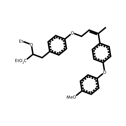 CCOC(=O)C(Cc1ccc(OCC=C(C)c2ccc(Oc3ccc(OC)cc3)cc2)cc1)OCC